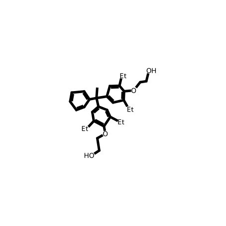 CCc1cc(C(C)(c2ccccc2)c2cc(CC)c(OCCO)c(CC)c2)cc(CC)c1OCCO